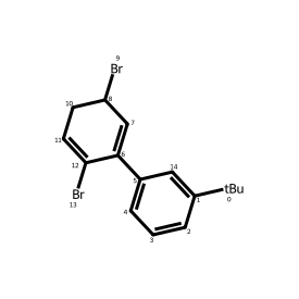 CC(C)(C)c1cccc(C2=CC(Br)CC=C2Br)c1